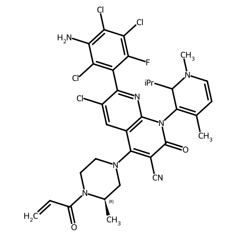 C=CC(=O)N1CCN(c2c(C#N)c(=O)n(C3=C(C)C=CN(C)C3C(C)C)c3nc(-c4c(F)c(Cl)c(Cl)c(N)c4Cl)c(Cl)cc23)C[C@H]1C